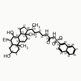 CC[C@@H]1C2C[C@H](O)CCC2(C)C2CCC3(C)C(CC[C@H]3[C@H](C)CCCNC(=O)NS(=O)(=O)c3ccc4ccccc4c3)C2[C@@H]1O